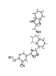 CC(C)Oc1ccc(-c2nc(-c3cccc4c3CC[C@@H]4NCc3nc4ccccc4[nH]3)no2)cc1C#N